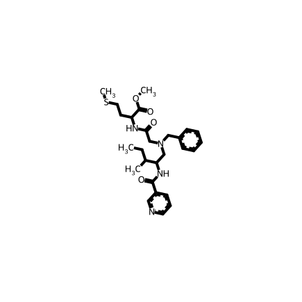 CCC(C)C(CN(CC(=O)NC(CCSC)C(=O)OC)Cc1ccccc1)NC(=O)c1cccnc1